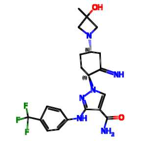 CC1(O)CN([C@H]2CC[C@H](n3cc(C(N)=O)c(Nc4ccc(C(F)(F)F)cc4)n3)C(=N)C2)C1